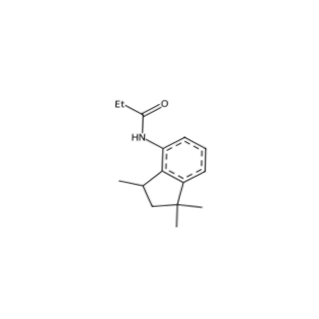 CCC(=O)Nc1cccc2c1C(C)CC2(C)C